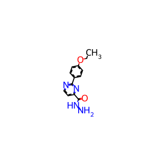 CCOc1ccc(-c2nccc(C(=O)NN)n2)cc1